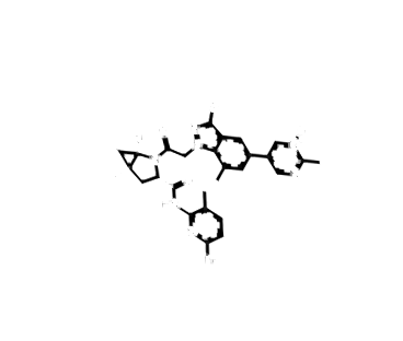 CC(=O)c1nn(CC(=O)N2[C@H](C(=O)Nc3nc(Br)ccc3C)C[C@@]3(C)C[C@@H]23)c2c(C)cc(-c3cnc(C)[n+]([O-])c3)cc12